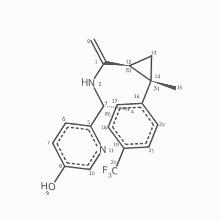 C=C(N[C@H](C)c1ccc(O)cn1)[C@H]1C[C@]1(C)c1ccc(C(F)(F)F)cc1